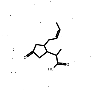 C/C=C\CC1CC(=O)CC1C(C)C(=O)O